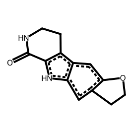 O=C1NCCc2c1[nH]c1cc3c(cc21)OCC3